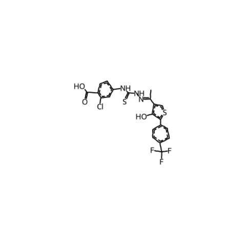 C/C(=N\NC(=S)Nc1ccc(C(=O)O)c(Cl)c1)c1csc(-c2ccc(C(F)(F)F)cc2)c1O